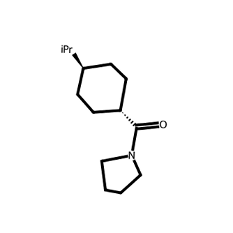 CC(C)[C@H]1CC[C@H](C(=O)N2CCCC2)CC1